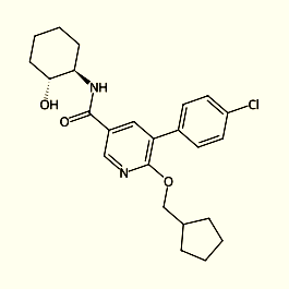 O=C(N[C@@H]1CCCC[C@H]1O)c1cnc(OCC2CCCC2)c(-c2ccc(Cl)cc2)c1